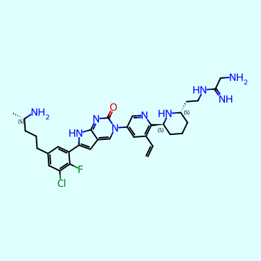 C=Cc1cc(-n2cc3cc(-c4cc(CCC[C@H](C)N)cc(Cl)c4F)[nH]c3nc2=O)cnc1[C@@H]1CCC[C@@H](CCNC(=N)CN)N1